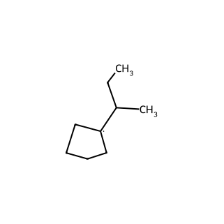 CCC(C)[C]1CCCC1